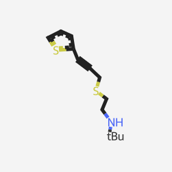 CC(C)(C)NCCSCC#Cc1cccs1